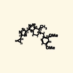 COc1ccc(CN2CCn3c(-c4nc(C5CC5)ns4)nnc3[C@H]2C)c(OC)c1